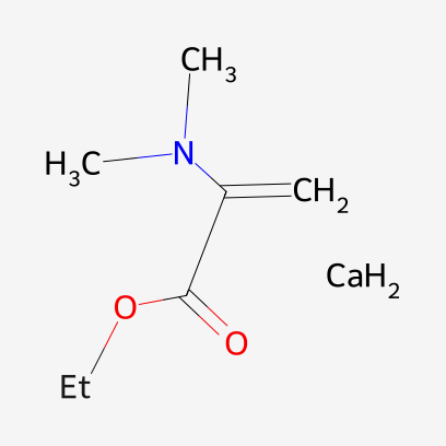 C=C(C(=O)OCC)N(C)C.[CaH2]